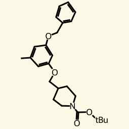 Cc1cc(OCc2ccccc2)cc(OCC2CCN(C(=O)OC(C)(C)C)CC2)c1